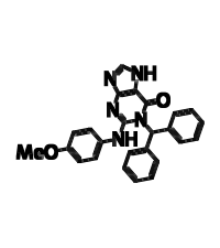 COc1ccc(Nc2nc3nc[nH]c3c(=O)n2C(c2ccccc2)c2ccccc2)cc1